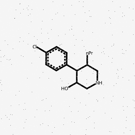 CCCC1CNCC(O)C1c1ccc(Cl)cc1